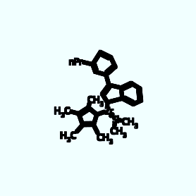 CCCc1cccc(C2=C[CH]([Zr]([CH]3C(C)=C(C)C(C)=C3C)=[Si](C)C)c3ccccc32)c1